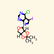 CC1(C)O[C@H]2[C@H](n3cc(I)c4c(Cl)ncnc43)OC[C@H]2O1